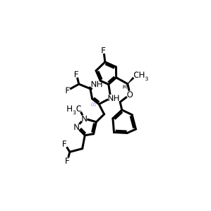 C[C@@H](OCc1ccccc1)c1cc(F)ccc1N/C(=C\C(=N)C(F)F)Cc1cc(CC(F)F)nn1C